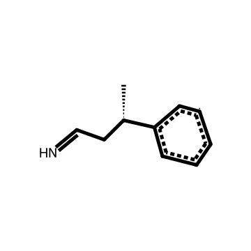 C[C@@H](CC=N)c1c[c]ccc1